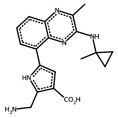 Cc1nc2cccc(-c3cc(C(=O)O)c(CN)[nH]3)c2nc1NC1(C)CC1